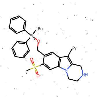 CC(C)c1c2n(c3cc(S(C)(=O)=O)c(CO[Si](c4ccccc4)(c4ccccc4)C(C)(C)C)cc13)CCNC2